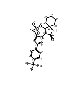 Cc1cc(-c2ccc(C(F)(F)F)cc2)nn1C1=C(OS(C)(=O)=O)C2(CCCCC2)NC1=O